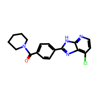 O=C(c1ccc(-c2nc3c(Cl)ccnc3[nH]2)cc1)N1CCCCC1